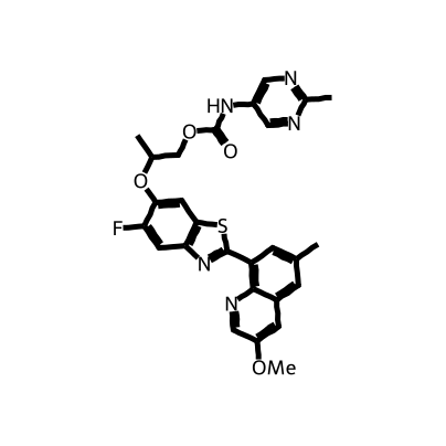 COc1cnc2c(-c3nc4cc(F)c(OC(C)COC(=O)Nc5cnc(C)nc5)cc4s3)cc(C)cc2c1